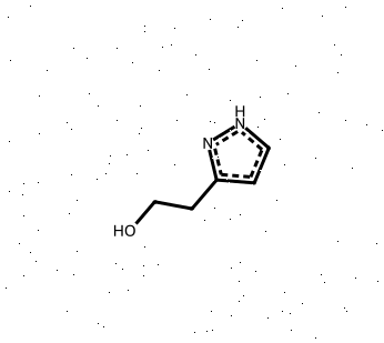 OCCc1cc[nH]n1